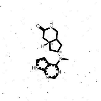 CN(c1ncnc2[nH]ccc12)[C@H]1CC2CNC(=O)C[C@H]2C1